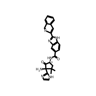 CC1(C)C[C@H](NC(=O)c2ccc3[nH]c(-c4cc5ccccc5cn4)nc3c2)C(=O)C1(N)c1ncc[nH]1